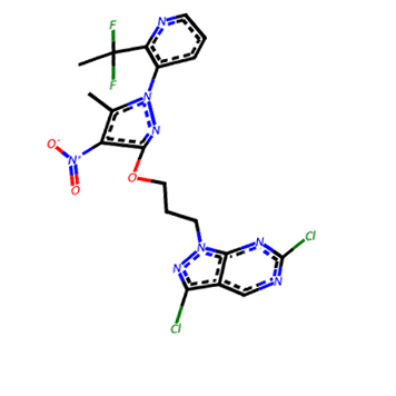 Cc1c([N+](=O)[O-])c(OCCCn2nc(Cl)c3cnc(Cl)nc32)nn1-c1cccnc1C(C)(F)F